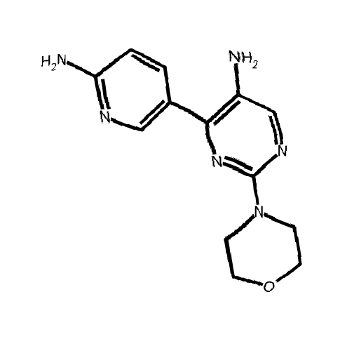 Nc1ccc(-c2nc(N3CCOCC3)ncc2N)cn1